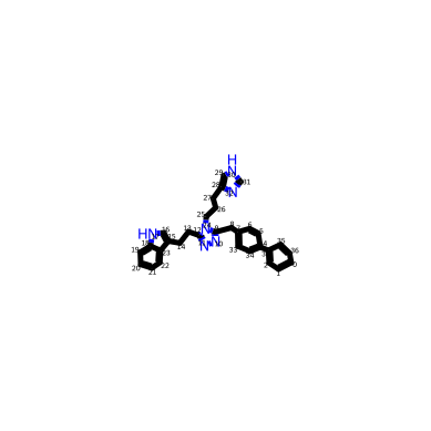 c1ccc(-c2ccc(Cc3nnc(CCc4c[nH]c5ccccc45)n3CCCc3c[nH]cn3)cc2)cc1